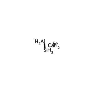 [AlH2][SiH3].[CaH2].[Fe]